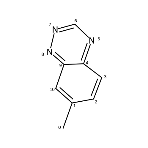 Cc1ccc2ncnnc2c1